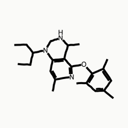 CCC(CC)N1CNC(C)c2c1cc(C)nc2Oc1c(C)cc(C)cc1C